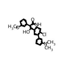 COc1cccc(-c2c(O)c3cc(-c4cccc(N(C)C)c4)c(Cl)cc3[nH]c2=O)c1